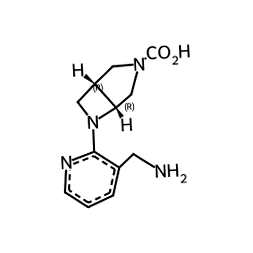 NCc1cccnc1N1C[C@@H]2CN(C(=O)O)C[C@@H]21